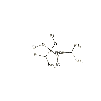 CCCCCCCCCC(C)N.CCO[Si](OCC)(OCC)C(N)CC